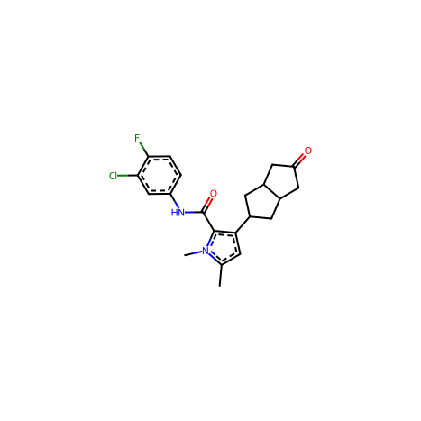 Cc1cc(C2CC3CC(=O)CC3C2)c(C(=O)Nc2ccc(F)c(Cl)c2)n1C